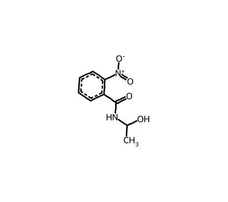 CC(O)NC(=O)c1ccccc1[N+](=O)[O-]